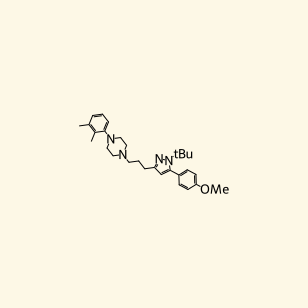 COc1ccc(-c2cc(CCCN3CCN(c4cccc(C)c4C)CC3)nn2C(C)(C)C)cc1